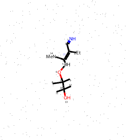 CC/C(C=N)=C(\BOC(C)(C)C(C)(C)O)NC